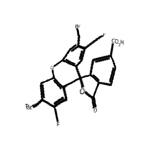 O=C(O)c1ccc2c(c1)C1(OC2=O)c2cc(F)c(Br)cc2Oc2cc(Br)c(F)cc21